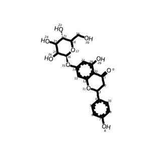 O=C1CC(c2ccc(O)cc2)Oc2cc(O[C@@H]3OC(CO)[C@@H](O)C(O)C3O)cc(O)c21